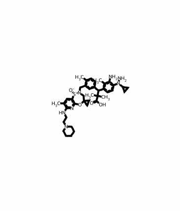 Cc1ccc(C(c2ccc(N(N)C3CC3)c(N)c2C)C(C)(C)C(=O)O)cc1CN1CC2(CC2)Oc2nc(NCCN3CCCCC3)c(C)cc2[S+]1[O-]